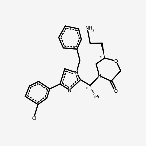 CC(C)[C@H](c1nc(-c2cccc(Cl)c2)cn1Cc1ccccc1)N1C[C@@H](CCN)OCC1=O